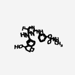 CNC(=O)Oc1cccc(Nc2ncc(F)c(Nc3ccc4c(c3)C(O)CCO4)n2)c1